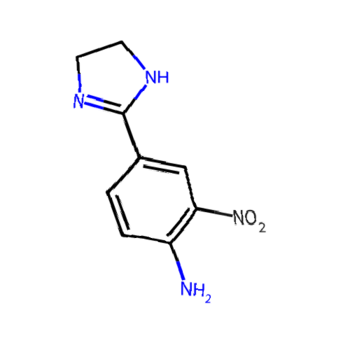 Nc1ccc(C2=NCCN2)cc1[N+](=O)[O-]